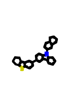 C1=Cc2c(sc3ccc(-c4ccc5c(c4)c4ccccc4n5-c4ccc5ccccc5c4)cc23)CC1